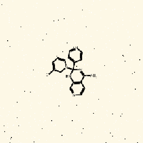 NC1=NC(c2ccncc2)(N2C=CC=C(Cl)C2)Nc2cnccc21